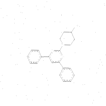 OC1CCN(c2nc(-c3ccccc3)cc(-c3ccccc3)n2)CC1